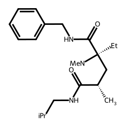 CC[C@](C[C@H](C)C(=O)NCC(C)C)(NC)C(=O)NCc1ccccc1